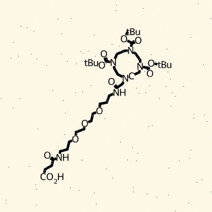 CC(C)(C)OC(=O)N1CCN(CC(=O)NCCCOCCOCCOCCCNC(=O)CCC(=O)O)CCN(C(=O)OC(C)(C)C)CCN(C(=O)OC(C)(C)C)CC1